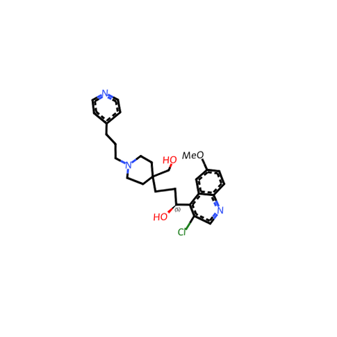 COc1ccc2ncc(Cl)c([C@@H](O)CCC3(CO)CCN(CCCc4ccncc4)CC3)c2c1